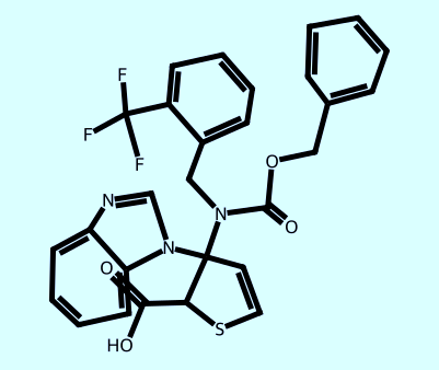 O=C(O)C1SC=CC1(N(Cc1ccccc1C(F)(F)F)C(=O)OCc1ccccc1)n1cnc2ccccc21